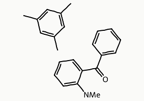 CNc1ccccc1C(=O)c1ccccc1.Cc1cc(C)cc(C)c1